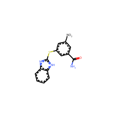 NC(=O)c1cc(Sc2nc3ccccc3[nH]2)cc([N+](=O)[O-])c1